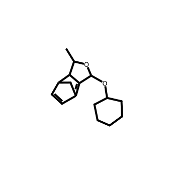 CC1OC(OC2CCCCC2)C2=C3C=CC(C3)C21